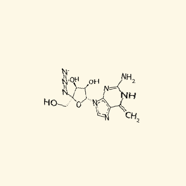 C=C1NC(N)=Nc2c1ncn2[C@@H]1O[C@@](CO)(N=[N+]=[N-])[C@@H](O)[C@H]1O